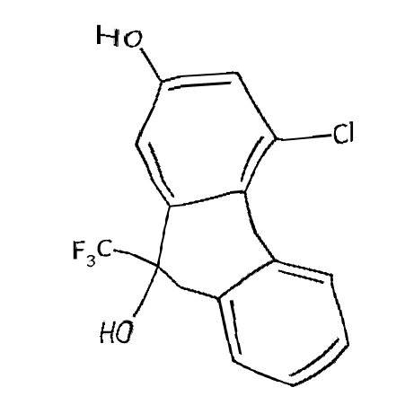 Oc1cc(Cl)c2c(c1)C(O)(C(F)(F)F)c1ccccc1-2